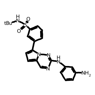 CC(C)(C)NS(=O)(=O)c1cccc(-c2ccc3cnc(Nc4cccc(N)c4)nn23)c1